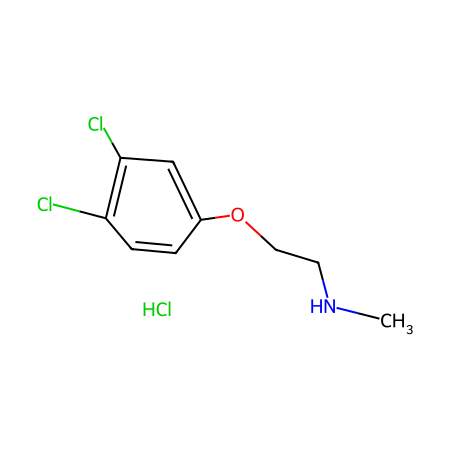 CNCCOc1ccc(Cl)c(Cl)c1.Cl